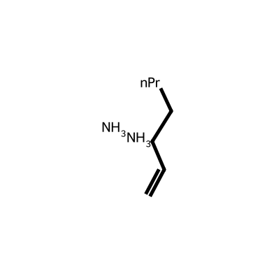 C=CCCCCC.N.N